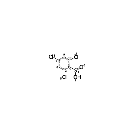 O=S(O)c1c(Cl)cc(Cl)cc1Cl